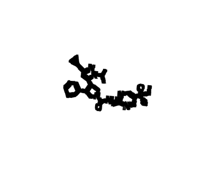 CCS(=O)(=O)c1cnc(CNC(=O)N2CC(c3ccccc3)C(c3cc(C4CC4)nn3C(C)C)C2)nc1